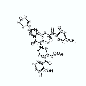 CCc1c(N2CCN(C(=O)c3ncnc(C)c3O)C(COC)C2)c(=O)n2nc(C3=CCOCC3)nc2n1CC(=O)Nc1ccc(C(F)(F)F)cc1Cl